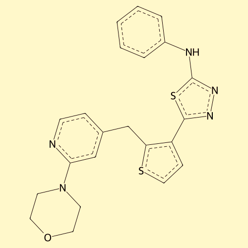 c1ccc(Nc2nnc(-c3ccsc3Cc3ccnc(N4CCOCC4)c3)s2)cc1